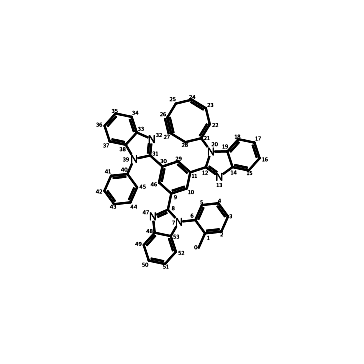 Cc1ccccc1-n1c(-c2cc(-c3nc4ccccc4n3/C3=C/C=C\CC#CC3)cc(-c3nc4ccccc4n3-c3ccccc3)c2)nc2ccccc21